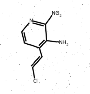 Nc1c(/C=C/Cl)ccnc1[N+](=O)[O-]